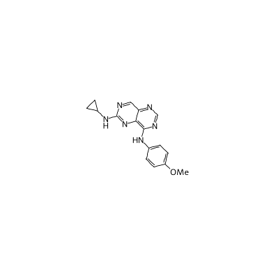 COc1ccc(Nc2ncnc3cnc(NC4CC4)nc23)cc1